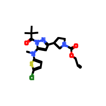 C=CCOC(=O)N1CCC(c2cc(N(C)c3ccc(Cl)s3)n(C(=O)C(C)(C)C)n2)C1